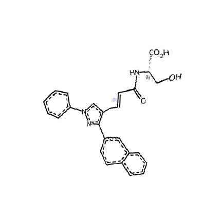 O=C(/C=C/c1cn(-c2ccccc2)nc1-c1ccc2ccccc2c1)N[C@@H](CO)C(=O)O